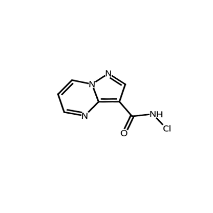 O=C(NCl)c1cnn2cccnc12